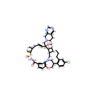 CCCc1cc(Cl)ccc1C1COc2ccc3cc2N(C1)CC1CCC1C(CN1CCc2cncnc2C1)(OC)/C=C/CC(C)C(C)[S+]([O-])NC3=O